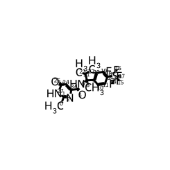 Cc1nc(C(=O)NC(C)(c2ccc(S(F)(F)(F)(F)F)cc2)C(C)C)cc(=O)[nH]1